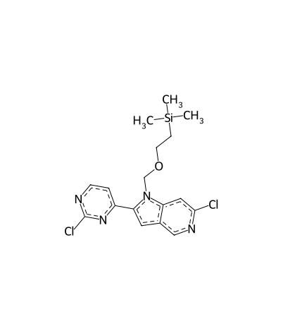 C[Si](C)(C)CCOCn1c(-c2ccnc(Cl)n2)cc2cnc(Cl)cc21